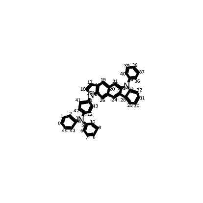 c1ccc(N(c2ccccc2)c2ccc(-n3ccc4cc5cc6c(cc5cc43)c3ccccc3n6-c3ccccc3)cc2)cc1